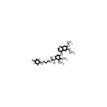 COc1cc2nccc(Oc3ccc(NC(=O)OCCCOc4ccc(F)cc4)c(C)c3C)c2cc1OC